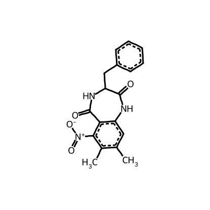 Cc1cc2c(c([N+](=O)[O-])c1C)C(=O)NC(Cc1ccccc1)C(=O)N2